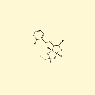 CC(C)[C@H]1O[C@@H]2OC(C)(CF)O[C@@H]2[C@H]1OCc1ccccc1Cl